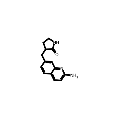 Nc1ccc2ccc(C[C]3CCNC3=O)cc2n1